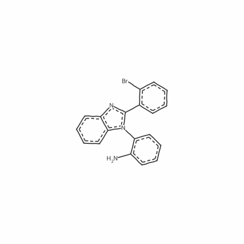 Nc1ccccc1-n1c(-c2ccccc2Br)nc2ccccc21